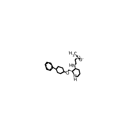 C[S+]([O-])CCN[C@H]1CCCN[C@H]1COC1CCC(c2ccccc2)CC1